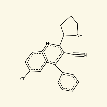 N#Cc1c(C2CCCN2)nc2ccc(Cl)cc2c1-c1ccccc1